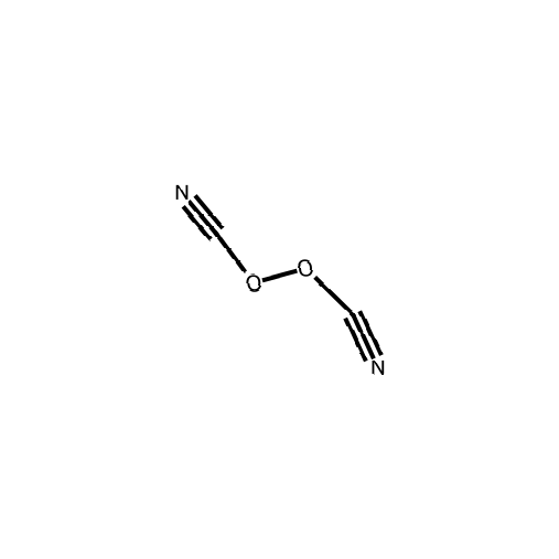 N#COOC#N